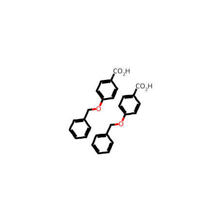 O=C(O)c1ccc(OCc2ccccc2)cc1.O=C(O)c1ccc(OCc2ccccc2)cc1